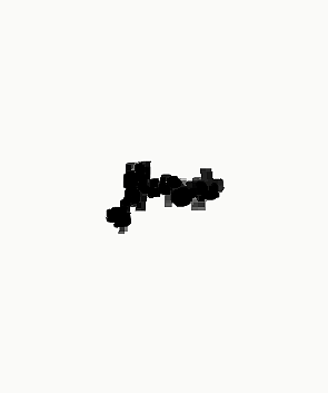 Cc1nn(C)c(C)c1-c1c(Cl)ccc2c(CCCOc3cccc4cc(F)ccc34)c(C(=O)O)n(CCN3CCN(C(=O)Cn4c(C)nc5c(C(=O)NC6CCC(=O)NC6=O)ccc(F)c54)CC3)c12